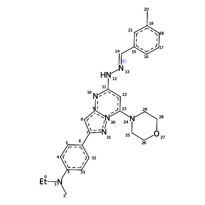 CCN(C)c1ccc(-c2cc3nc(N/N=C/c4cccc(C)c4)cc(N4CCOCC4)n3n2)cc1